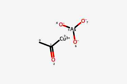 C[C](=O)[Cu+3].[O-][As]([O-])[O-]